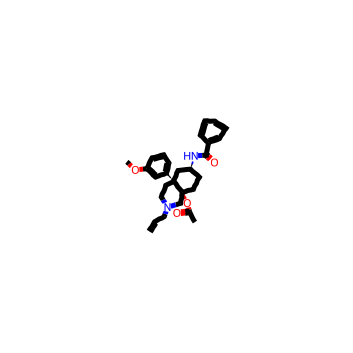 C=CCN1CC[C@@]2(c3cccc(OC)c3)C[C@H](NC(=O)c3ccccc3)CC[C@]2(OC(C)=O)C1